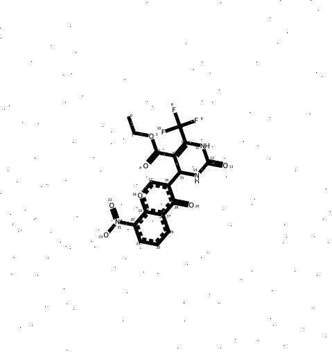 CCOC(=O)C1=C(C(F)(F)F)NC(=O)NC1c1coc2c([N+](=O)[O-])cccc2c1=O